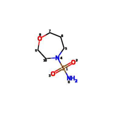 NS(=O)(=O)N1CCCOCC1